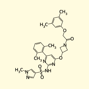 Cc1cc(C)cc(OCC(=O)N2CC(Oc3cc(-c4c(C)cccc4C)nc(NS(=O)(=O)c4cnn(C)c4)n3)C2)c1